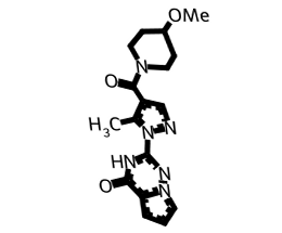 COC1CCN(C(=O)c2cnn(-c3nn4cccc4c(=O)[nH]3)c2C)CC1